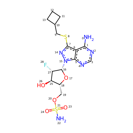 Nc1ncnc2c1c(SCC1CCC1)nn2[C@@H]1O[C@H](COS(N)(=O)=O)[C@@H](O)[C@@H]1F